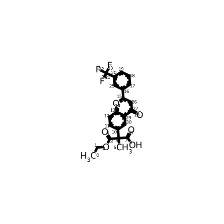 CCOC(=O)C(C)(C(=O)O)c1ccc2oc(-c3cccc(C(F)(F)F)c3)cc(=O)c2c1